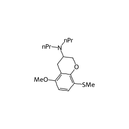 CCCN(CCC)C1COc2c(SC)ccc(OC)c2C1